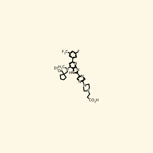 CCOCC1(CN(C)c2cc(-c3cc(F)cc(C(F)(F)F)c3)nc3nc(-c4cnc(N5CCN(CCC(=O)O)CC5)cn4)[nH]c23)CCCC1